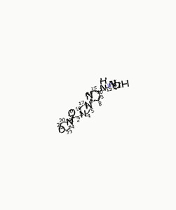 O=C(CN1CCN(c2ccc(N/C=N/O)cn2)CC1)N1CCOCC1